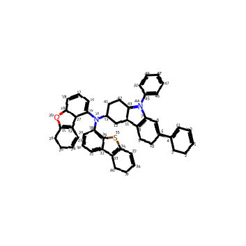 C1=CCCC(C2=CC3=C(CC2)C2CC(N(C4=CC=CC5OC6=C(C=CCC6)C45)c4cccc5c6c(sc45)C=CCC6)CCC2N3c2ccccc2)=C1